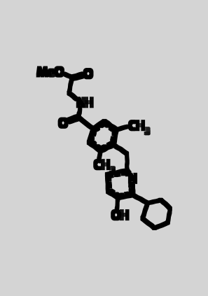 COC(=O)CNC(=O)c1cc(C)c(Cc2ccc(O)c(C3CCCCC3)n2)c(C)c1